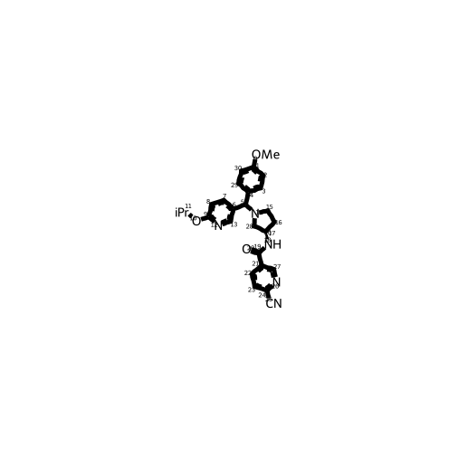 COc1ccc(C(c2ccc(OC(C)C)nc2)N2CC[C@@H](NC(=O)c3ccc(C#N)nc3)C2)cc1